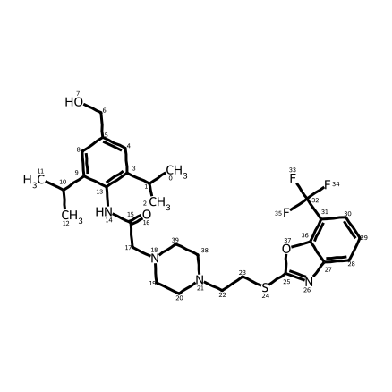 CC(C)c1cc(CO)cc(C(C)C)c1NC(=O)CN1CCN(CCSc2nc3cccc(C(F)(F)F)c3o2)CC1